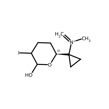 C=[N+](C)C1([C@@H]2CCC(I)C(O)O2)CC1